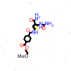 COCCOC(=O)C1CCC(C(=O)Nc2cc(C(N)=O)c(NC(N)=O)s2)CC1